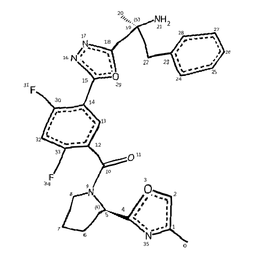 Cc1coc([C@H]2CCCN2C(=O)c2cc(-c3nnc([C@@](C)(N)Cc4ccccc4)o3)c(F)cc2F)n1